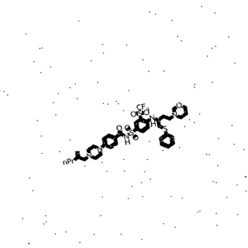 C=C(CCC)CN1CCN(c2ccc(C(=O)NS(=O)(=O)c3ccc(NC(CCN4CCCOC4)CSc4ccccc4)c(S(=O)(=O)C(F)(F)F)c3)cc2)CC1